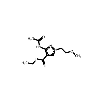 CCOC(=O)c1cn(CCOC)nc1NC(N)=O